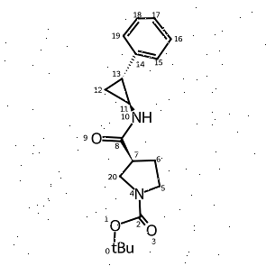 CC(C)(C)OC(=O)N1CC[C@H](C(=O)N[C@H]2C[C@@H]2c2ccccc2)C1